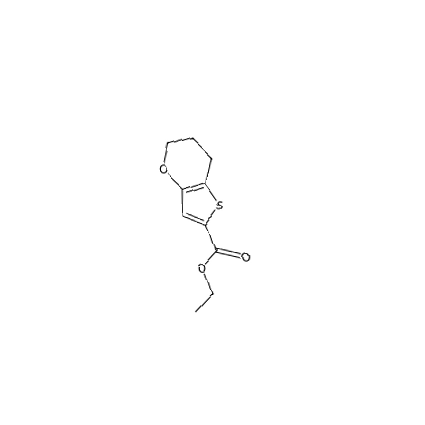 CCOC(=O)c1cc2c(s1)CCCO2